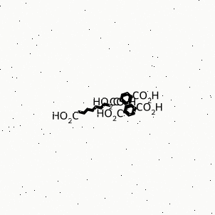 O=C(O)CCCCCCCCC(=O)O.O=C(O)c1ccc(C(=O)O)cc1.O=C(O)c1ccc(C(=O)O)cc1